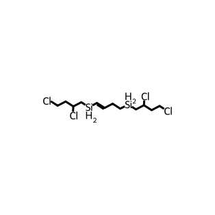 ClCCC(Cl)C[SiH2]C=CCC[SiH2]CC(Cl)CCCl